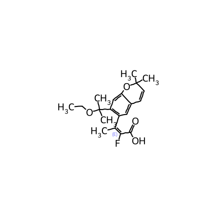 CCOC(C)(C)c1cc2c(cc1/C(C)=C(/F)C(=O)O)C=CC(C)(C)O2